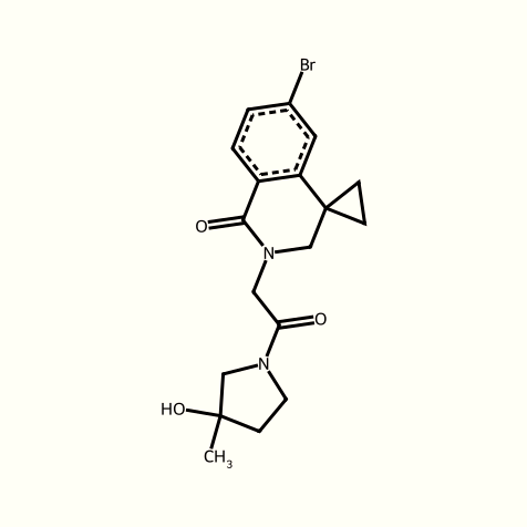 CC1(O)CCN(C(=O)CN2CC3(CC3)c3cc(Br)ccc3C2=O)C1